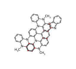 CN1c2ccccc2N(c2ccc(N3c4ccccc4N(C)c4ccccc43)c(N3c4ccccc4N(C)c4ccccc43)c2-c2cccc(-c3nc4ccccc4o3)c2)c2ccccc21